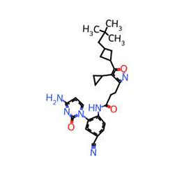 CC(C)(C)CC1CC(c2onc(CCC(=O)Nc3ccc(C#N)cc3-n3ccc(N)nc3=O)c2C2CC2)C1